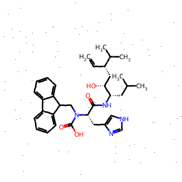 C=C[C@@H](C[C@@H](O)[C@H](CC(C)C)NC(=O)[C@H](Cc1c[nH]cn1)N(CC1c2ccccc2-c2ccccc21)C(=O)O)C(C)C